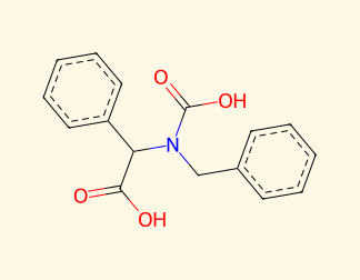 O=C(O)C(c1ccccc1)N(Cc1ccccc1)C(=O)O